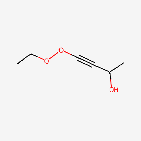 CCOOC#CC(C)O